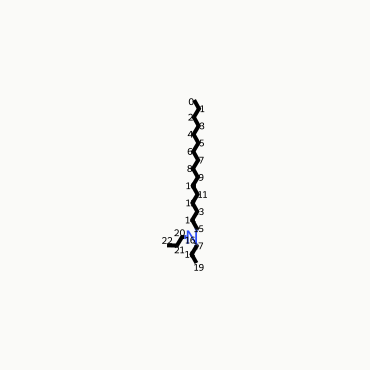 CCCCCCCCCCCCCCCCN(CCC)CCC